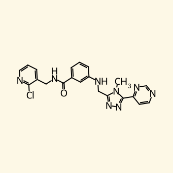 Cn1c(CNc2cccc(C(=O)NCc3cccnc3Cl)c2)nnc1-c1ccncn1